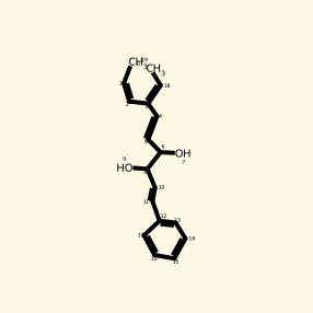 C\C=C/C(/C=C/C(O)C(O)/C=C/c1ccccc1)=C\C